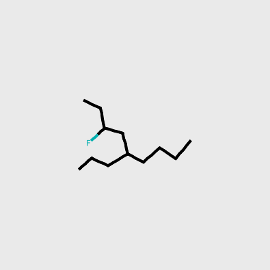 CCCCC(CCC)CC(F)CC